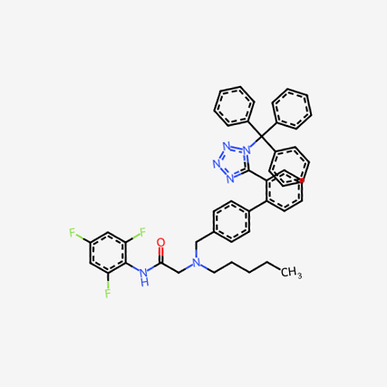 CCCCCN(CC(=O)Nc1c(F)cc(F)cc1F)Cc1ccc(-c2ccccc2-c2nnnn2C(c2ccccc2)(c2ccccc2)c2ccccc2)cc1